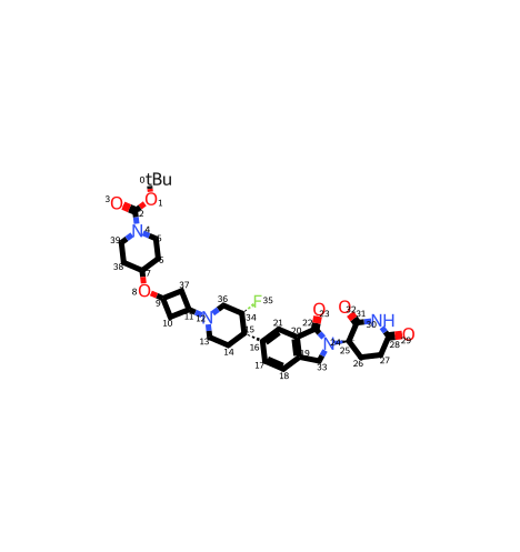 CC(C)(C)OC(=O)N1CCC(OC2CC(N3CC[C@@H](c4ccc5c(c4)C(=O)N([C@@H]4CCC(=O)NC4=O)C5)[C@@H](F)C3)C2)CC1